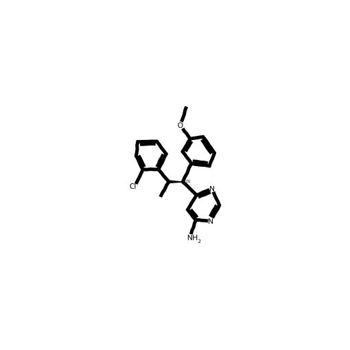 COc1cccc([C@@H](c2cc(N)ncn2)C(C)c2ccccc2Cl)c1